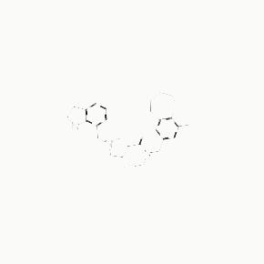 CC(C)CN(Cc1cc(Cl)c2c(c1)CCCCO2)C(=O)C1CCN(Cc2cccc3c2NCC3)C1